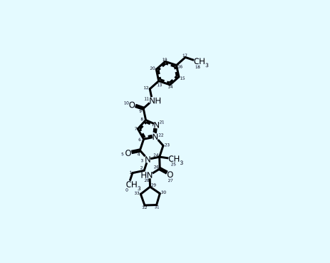 CCCN1C(=O)c2cc(C(=O)NCc3ccc(CC)cc3)nn2CC1(C)C(=O)NC1CCCC1